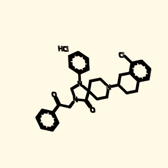 Cl.O=C(CN1CN(c2ccccc2)C2(CCN(C3CCc4cccc(Cl)c4C3)CC2)C1=O)c1ccccc1